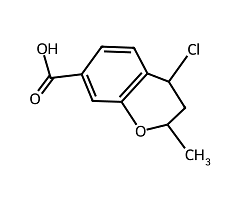 CC1CC(Cl)c2ccc(C(=O)O)cc2O1